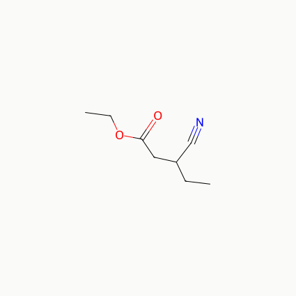 CCOC(=O)CC(C#N)CC